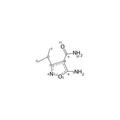 CC(C)c1noc(N)c1C(N)=O